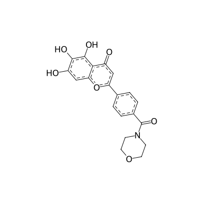 O=C(c1ccc(-c2cc(=O)c3c(O)c(O)c(O)cc3o2)cc1)N1CCOCC1